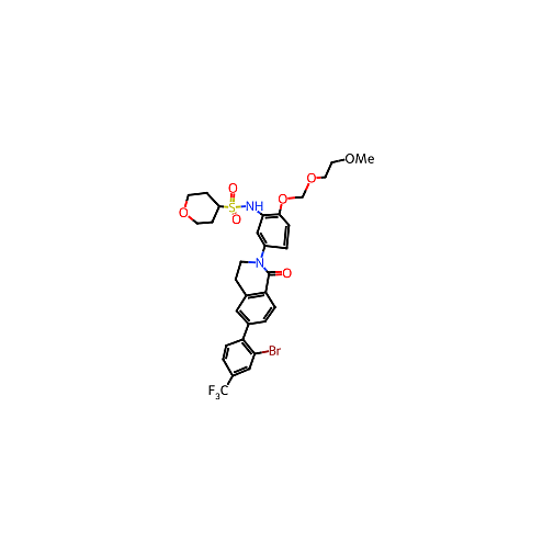 COCCOCOc1ccc(N2CCc3cc(-c4ccc(C(F)(F)F)cc4Br)ccc3C2=O)cc1NS(=O)(=O)C1CCOCC1